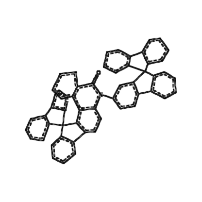 O=c1c2ccccc2c2c3c(ccc2n1-c1ccc2c(c1)C1(c4ccccc4-c4ccccc41)c1ccccc1-2)-c1ccccc1C31c2ccccc2-c2ccccc21